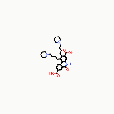 O=C(O)c1ccc2c(c1)c(=O)[nH]c1cc(C(=O)O)c(CCCCN3CCCCC3)c(CCCCN3CCCCC3)c12